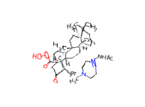 CC(=O)NN1CCN(C)CC1.CC(C)C1=C2[C@H]3CC[C@@H]4[C@@]5(C)CCCC(C)(C)[C@@H]5CC[C@@]4(C)[C@]3(C)CC[C@@]2(C(=O)OO)CC1=O